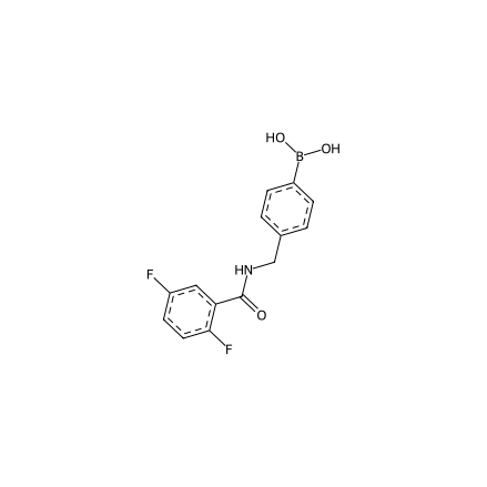 O=C(NCc1ccc(B(O)O)cc1)c1cc(F)ccc1F